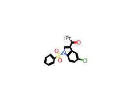 CC(C)C(=O)c1cn(S(=O)(=O)c2ccccc2)c2ccc(Cl)cc12